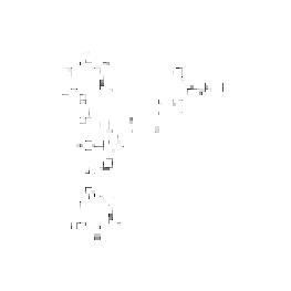 NC(=O)OCCCOP(=O)(OCc1ccccc1)OCc1ccccc1